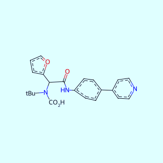 CC(C)(C)N(C(=O)O)C(C(=O)Nc1ccc(-c2ccncc2)cc1)c1ccco1